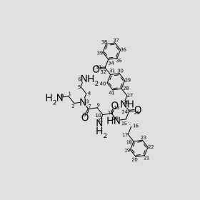 NCCN(CCN)C(=O)C[C@H](N)C(=O)N[C@@H](CCc1ccccc1)C(=O)NCc1ccc(C(=O)c2ccccc2)cc1